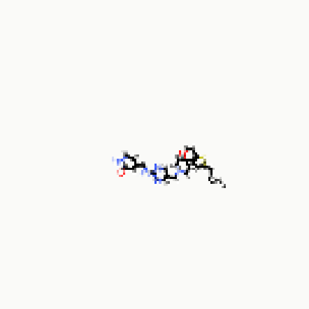 CCc1cc2c(s1)CCOC21CCN(Cc2cnc(NCc3cc[nH]c(=O)c3)nc2)CC1